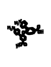 Nc1ccc(-c2cc(C(=O)O)ccc2Oc2ccc(C(=O)O)cc2-c2ccc(N)cc2)cc1